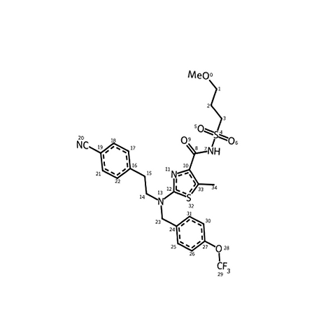 COCCCS(=O)(=O)NC(=O)c1nc(N(CCc2ccc(C#N)cc2)Cc2ccc(OC(F)(F)F)cc2)sc1C